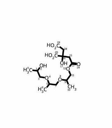 CC(O)COC(C)COC(C)COC(=O)CC(O)(CC(=O)O)C(=O)O